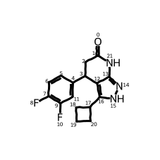 O=C1CC(c2ccc(F)c(F)c2)c2c(n[nH]c2C2CCC2)N1